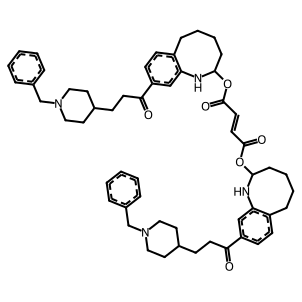 O=C(/C=C/C(=O)OC1CCCCc2ccc(C(=O)CCC3CCN(Cc4ccccc4)CC3)cc2N1)OC1CCCCc2ccc(C(=O)CCC3CCN(Cc4ccccc4)CC3)cc2N1